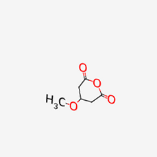 COC1CC(=O)OC(=O)C1